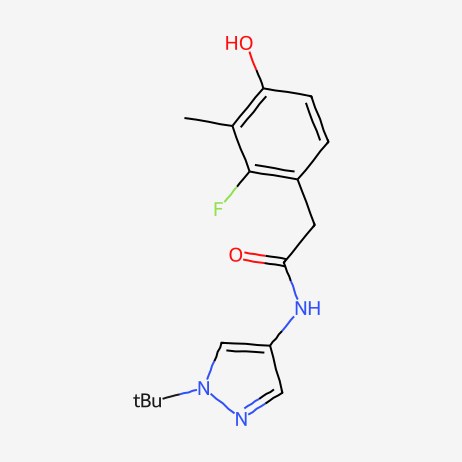 Cc1c(O)ccc(CC(=O)Nc2cnn(C(C)(C)C)c2)c1F